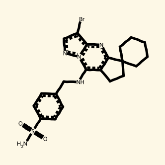 NS(=O)(=O)c1ccc(CNc2c3c(nc4c(Br)cnn24)C2(CCCCC2)CC3)cc1